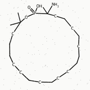 CC1(C)CCCCCCCCCCCCCCCCCC(C)(N)P(=O)(O)O1